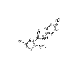 Nc1ccc(F)cc1C(=O)Nc1ccc(Cl)cc1